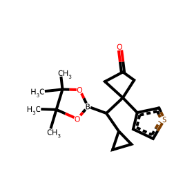 CC1(C)OB(C(C2CC2)C2(c3ccsc3)CC(=O)C2)OC1(C)C